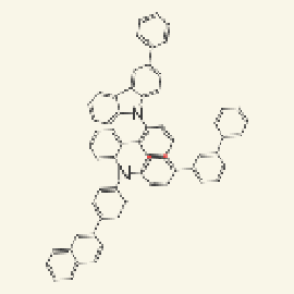 c1ccc(-n2c3ccccc3c3cc(-c4ccccc4)ccc32)c(-c2ccccc2N(C2=CC=C(c3ccc4ccccc4c3)CC2)c2ccc(-c3cccc(-c4ccccc4)c3)cc2)c#1